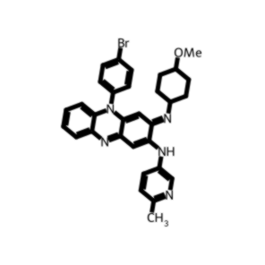 COC1CCC(/N=c2\cc3n(-c4ccc(Br)cc4)c4ccccc4nc-3cc2Nc2ccc(C)nc2)CC1